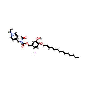 CCCCCCCCCCCCCCOc1ccc(COC(=O)N(Cc2cc[n+](CC)cc2)C(C)=O)cc1OC.[I-]